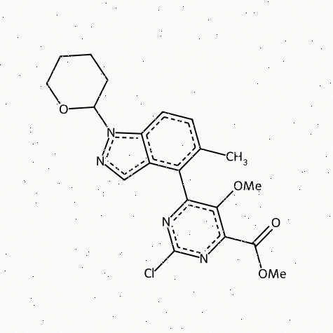 COC(=O)c1nc(Cl)nc(-c2c(C)ccc3c2cnn3C2CCCCO2)c1OC